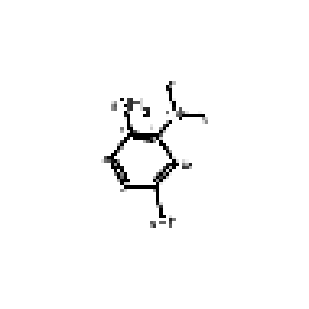 CCc1ccc(N)c(N(C)C)c1